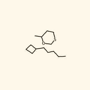 CC1CCSCO1.CCCCCC1CCC1